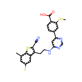 CSc1cc(-c2cc(NCCc3c(C#N)sc4c(C)cc(F)cc34)ncn2)ccc1C(=O)O